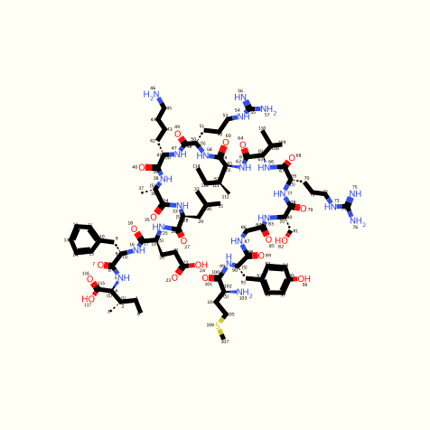 CC[C@H](C)[C@H](NC(=O)[C@H](Cc1ccccc1)NC(=O)[C@H](CCC(=O)O)NC(=O)[C@H](CC(C)C)NC(=O)[C@H](C)NC(=O)[C@H](CCCCN)NC(=O)[C@H](CCCNC(=N)N)NC(=O)[C@@H](NC(=O)[C@@H](NC(=O)[C@H](CCCNC(=N)N)NC(=O)[C@H](CO)NC(=O)CNC(=O)[C@H](Cc1ccc(O)cc1)NC(=O)[C@@H](N)CCSC)C(C)C)[C@@H](C)CC)C(=O)O